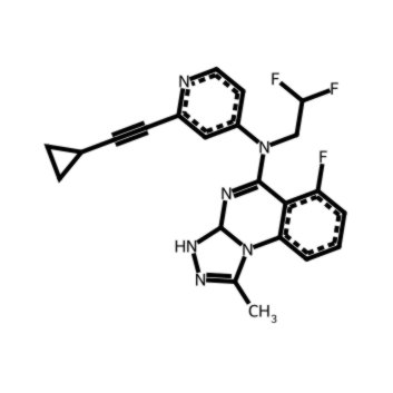 CC1=NNC2N=C(N(CC(F)F)c3ccnc(C#CC4CC4)c3)c3c(F)cccc3N12